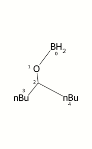 BOC(CCCC)CCCC